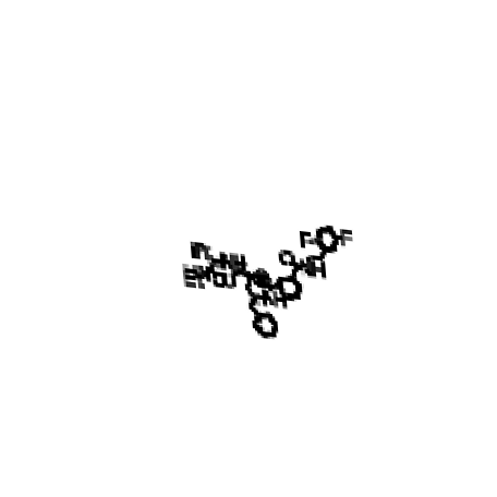 CCNC(=O)[C@@H](NC(=O)[C@H](C)NC[C@H](Cc1ccccc1)NC(=O)c1cccc(C(=O)NCCc2cc(F)ccc2F)c1)C(C)C